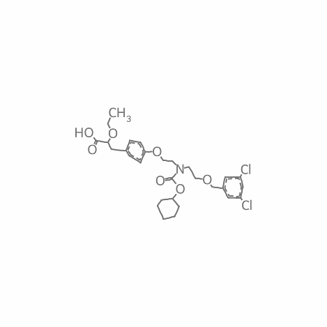 CCOC(Cc1ccc(OCCN(CCOCc2cc(Cl)cc(Cl)c2)C(=O)OC2CCCCC2)cc1)C(=O)O